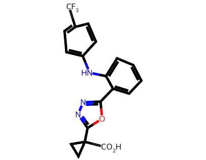 O=C(O)C1(c2nnc(-c3ccccc3Nc3ccc(C(F)(F)F)cc3)o2)CC1